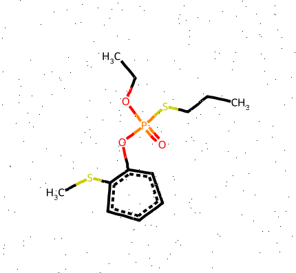 CCCSP(=O)(OCC)Oc1ccccc1SC